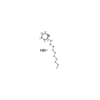 Br.CCCCCCCCCCc1ccccn1